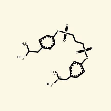 NC(Cc1ccc(OS(=O)(=O)CCCS(=O)(=O)Oc2ccc(C[C@H](N)C(=O)O)cc2)cc1)C(=O)O